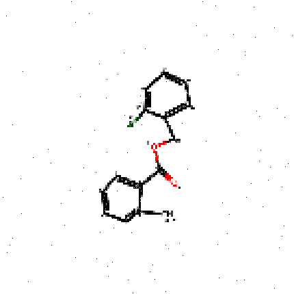 [CH2]c1ccccc1C(=O)OCc1ccccc1Br